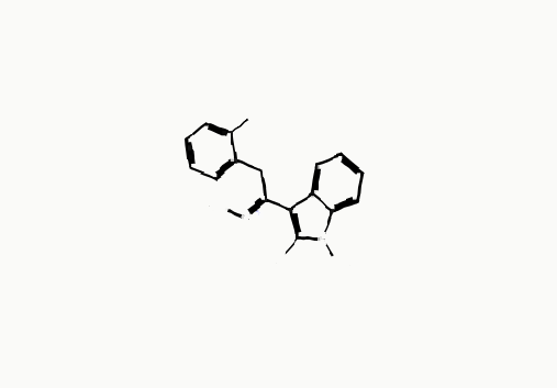 CC(=O)O/N=C(\Cc1ccccc1C)c1c(C)n(C)c2ccccc12